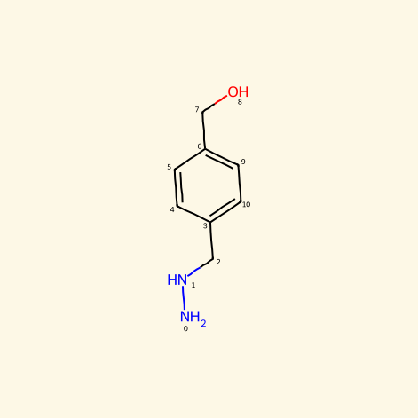 NNCc1ccc(CO)cc1